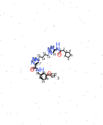 O=C(CC1CCCC1)Nc1cn(CCCCn2cc(C(=O)NCc3cccc(OC(F)(F)F)c3)nn2)nn1